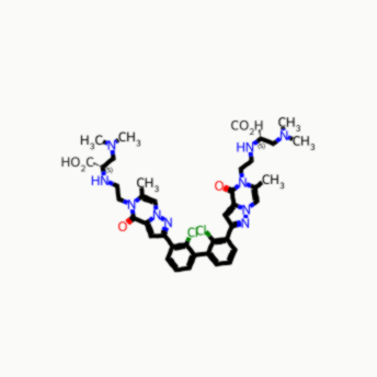 Cc1cn2nc(-c3cccc(-c4cccc(-c5cc6c(=O)n(CCN[C@@H](CN(C)C)C(=O)O)c(C)cn6n5)c4Cl)c3Cl)cc2c(=O)n1CCN[C@@H](CN(C)C)C(=O)O